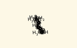 BC(B)=C(B)C(=O)N(CC)c1cccc(Nc2ncc3cc(-c4c(C)cc[nH]c4=O)ccc3n2)c1